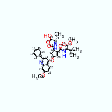 CC[C@H](NC(=O)C1CC(Oc2cc(-c3ccccc3)nc3cc(OC)ccc23)C=C1C(=O)NC(C(=O)OC)C(C)C)C(=O)O